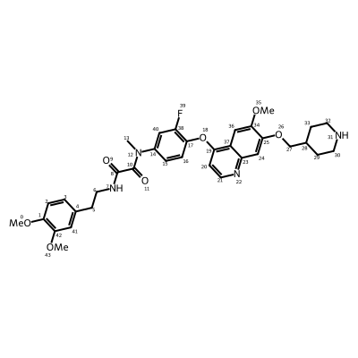 COc1ccc(CCNC(=O)C(=O)N(C)c2ccc(Oc3ccnc4cc(OCC5CCNCC5)c(OC)cc34)c(F)c2)cc1OC